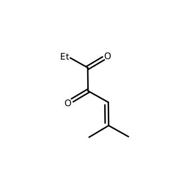 CCC(=O)C(=O)C=C(C)C